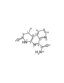 CC1CC(=O)Nc2nc(C(N)=O)c3ncccc3c21